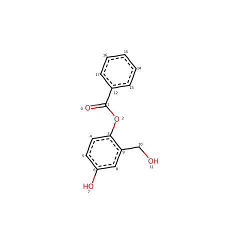 O=C(Oc1ccc(O)cc1CO)c1ccccc1